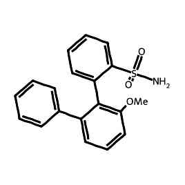 COc1cccc(-c2ccccc2)c1-c1ccccc1S(N)(=O)=O